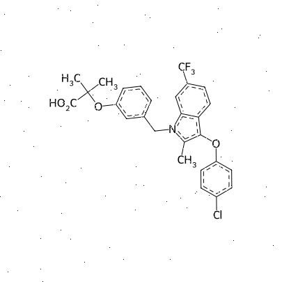 Cc1c(Oc2ccc(Cl)cc2)c2ccc(C(F)(F)F)cc2n1Cc1cccc(OC(C)(C)C(=O)O)c1